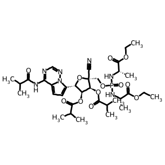 CCOC(=O)[C@H](C)NP(=O)(N[C@@H](C)C(=O)OCC)OC[C@@]1(C#N)O[C@@H](c2ccc3c(NC(=O)C(C)C)ncnn23)[C@H](OC(=O)C(C)C)[C@@H]1OC(=O)C(C)C